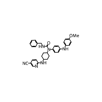 COc1ccc(Nc2ccc(N(C(=O)NCc3ccccc3)C3CCC(Nc4ccc(C#N)cn4)CC3)cc2)cc1